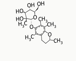 Cc1c(C)c2c(c(C)c1O[C@H]1O[C@H](CO)[C@@H](O)[C@H](O)[C@@]1(C)O)CCC(C)O2